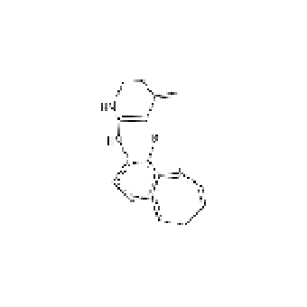 C=C1C=C(Nc2ccc3c(c2Br)=NC=CCC=3)NCC1